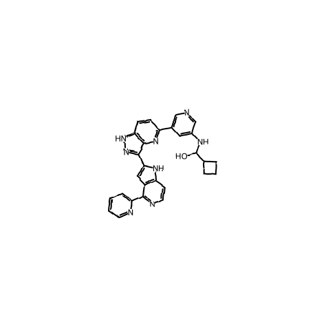 OC(Nc1cncc(-c2ccc3[nH]nc(-c4cc5c(-c6ccccn6)nccc5[nH]4)c3n2)c1)C1CCC1